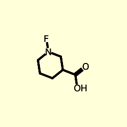 O=C(O)C1CCCN(F)C1